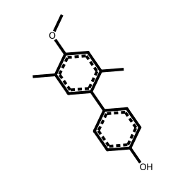 COc1cc(C)c(-c2ccc(O)cc2)cc1C